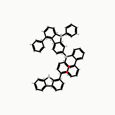 c1ccc(-c2ccccc2N(c2ccc(-c3cccc4c3oc3ccccc34)cc2)c2ccc3c4c(-c5ccccc5)cccc4n(-c4ccccc4)c3c2)cc1